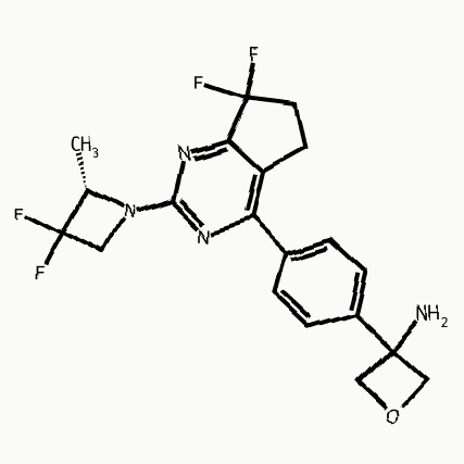 C[C@@H]1N(c2nc(-c3ccc(C4(N)COC4)cc3)c3c(n2)C(F)(F)CC3)CC1(F)F